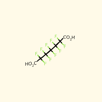 O=C(O)C(F)(F)C(F)(F)C(F)(F)C(F)(F)C(F)(F)C(=O)O